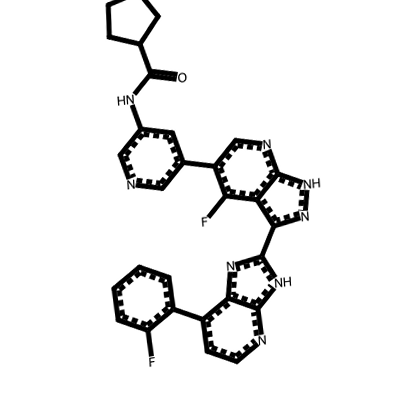 O=C(Nc1cncc(-c2cnc3[nH]nc(-c4nc5c(-c6ccccc6F)ccnc5[nH]4)c3c2F)c1)C1CCCC1